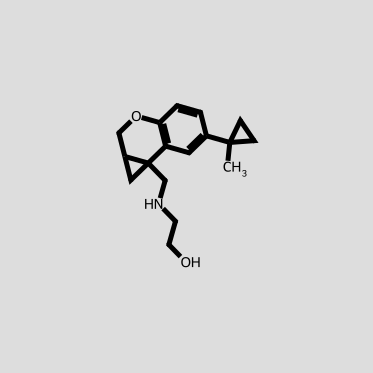 CC1(c2ccc3c(c2)C2(CNCCO)CC2CO3)CC1